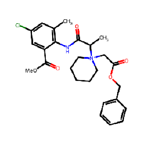 COC(=O)c1cc(Cl)cc(C)c1NC(=O)C(C)[N+]1(CC(=O)OCc2ccccc2)CCCCC1